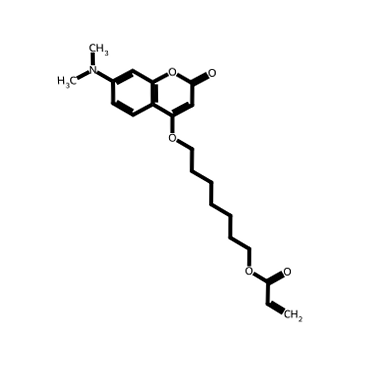 C=CC(=O)OCCCCCCCOc1cc(=O)oc2cc(N(C)C)ccc12